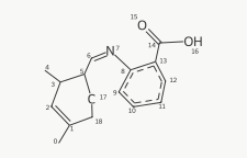 CC1=CC(C)C(/C=N\c2ccccc2C(=O)O)CC1